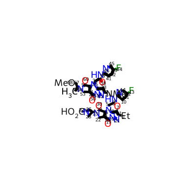 CCc1cc2n(CC(=O)Nc3ccc(F)cn3)c3c(c(=O)n2n1)CN(C1CN(C(=O)O)C1)C3=O.CNc1cc2n(CC(=O)Nc3ccc(F)cn3)c3c(c(=O)n2n1)CN(C(C)COC)C3=O